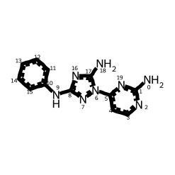 Nc1nccc(-n2nc(Nc3ccccc3)nc2N)n1